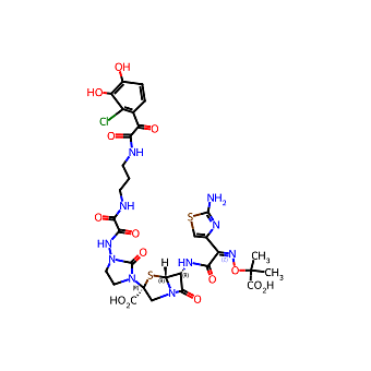 CC(C)(O/N=C(\C(=O)N[C@@H]1C(=O)N2C[C@@](C(=O)O)(N3CCN(NC(=O)C(=O)NCCCNC(=O)C(=O)c4ccc(O)c(O)c4Cl)C3=O)S[C@H]12)c1csc(N)n1)C(=O)O